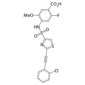 COc1cc(C(=O)O)c(F)cc1NS(=O)(=O)c1csc(C#Cc2ccccc2Cl)n1